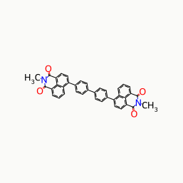 CN1C(=O)c2cccc3c(-c4ccc(-c5ccc(-c6ccc7c8c(cccc68)C(=O)N(C)C7=O)cc5)cc4)ccc(c23)C1=O